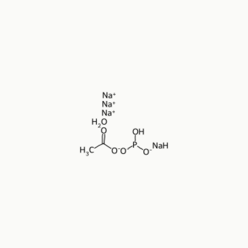 CC(=O)[O-].O.[Na+].[Na+].[Na+].[NaH].[O-]P([O-])O